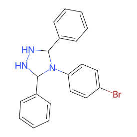 Brc1ccc(N2C(c3ccccc3)NNC2c2ccccc2)cc1